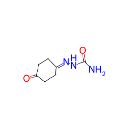 NC(=O)NN=C1CCC(=O)CC1